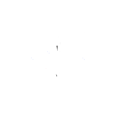 CC1C(Br)=CN=C(F)C1[C@]1(C)C[C@@H](C(F)(F)F)OC(N)=N1